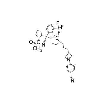 CC(=O)O[C@H]1CCC[C@@H]1C(C#N)(c1cccc(C(F)(F)F)c1)C1CCC(CCCC2CN(c3ccc(C#N)cc3)C2)CC1